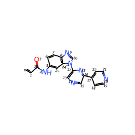 C=CC(=O)Nc1ccc2ncn(-c3cncc(-c4ccncc4)n3)c2c1